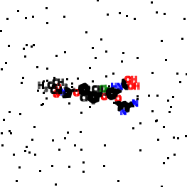 Cc1c(COc2cc(OCc3cncc(C#N)c3)c(CNC(CO)CO)cc2Cl)cccc1-c1cccc(OC[C@H]2CCN(C(=O)OC(C)(C)C)C2)c1C